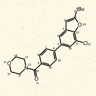 CC(C)(C)c1cc2cc(-c3ccc(C(=O)N4CCOCC4)cc3)cc(Cl)c2o1